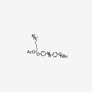 CCCCOc1ccc(N=Nc2ccc(OC(CCCCC=[N+]=[N-])OC(C)=O)cc2)cc1